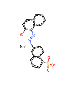 O=S(=O)([O-])c1cccc2cc(N=Nc3c(O)ccc4ccccc34)ccc12.[Na+]